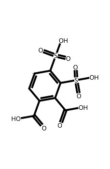 O=C(O)c1c[c]c(S(=O)(=O)O)c(S(=O)(=O)O)c1C(=O)O